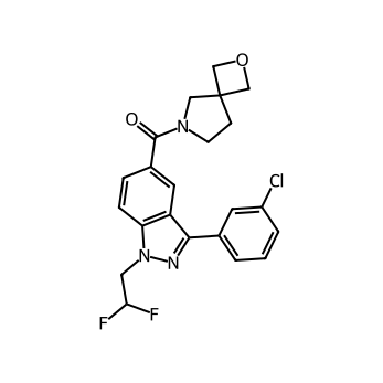 O=C(c1ccc2c(c1)c(-c1cccc(Cl)c1)nn2CC(F)F)N1CCC2(COC2)C1